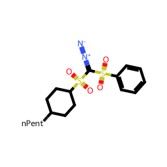 CCCCCC1CCC(S(=O)(=O)C(=[N+]=[N-])S(=O)(=O)c2ccccc2)CC1